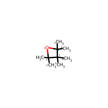 CC1(C)OC(C)(C)C1(C)C